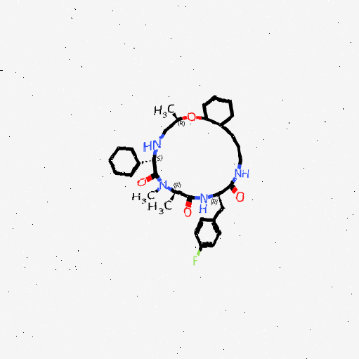 C[C@@H]1CN[C@@H](C2CCCCC2)C(=O)N(C)[C@H](C)C(=O)N[C@H](Cc2ccc(F)cc2)C(=O)NCCCC2CCCCC2O1